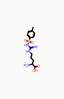 Cc1ccc(S(=O)(=O)NC(=N)NCCCC(N)C(=O)O)cc1